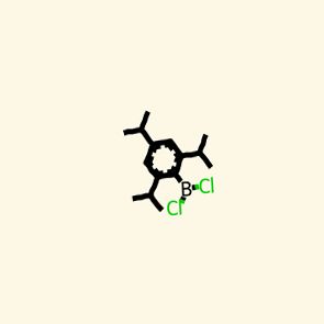 CC(C)c1cc(C(C)C)c(B(Cl)Cl)c(C(C)C)c1